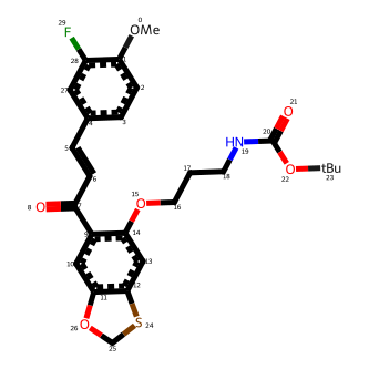 COc1ccc(C=CC(=O)c2cc3c(cc2OCCCNC(=O)OC(C)(C)C)SCO3)cc1F